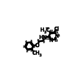 Cc1ccccc1OCCNc1ncnc(Cl)c1C